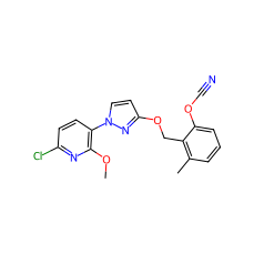 COc1nc(Cl)ccc1-n1ccc(OCc2c(C)cccc2OC#N)n1